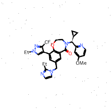 CCc1nccn1Cc1cc2c(c(-c3cn(CC)nc3C(F)(F)F)c1)OCCN([C@H](c1cc(OC)ccn1)C1CC1)C2=O